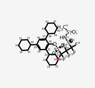 C[S+]([O-])NS(=O)(=O)C(F)(F)C(F)(F)C(F)(F)S(=O)(=O)Oc1c(C2CCCCC2)cc(C2CCCCC2)cc1C1CCCCC1